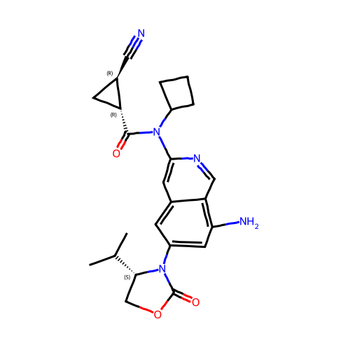 CC(C)[C@H]1COC(=O)N1c1cc(N)c2cnc(N(C(=O)[C@@H]3C[C@H]3C#N)C3CCC3)cc2c1